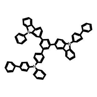 c1ccc(-c2ccc(N(c3ccccc3)c3ccc(-c4cc(-c5ccc6c(c5)c5ccccc5n6-c5ccc(-c6ccccc6)cc5)cc(-c5ccc6c7ccccc7n(-c7ccccc7)c6c5)c4)cc3)cc2)cc1